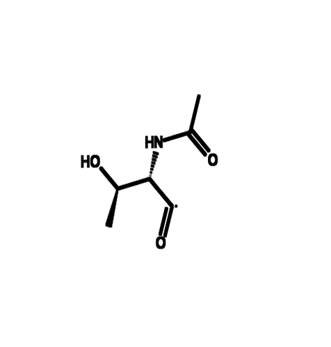 CC(=O)N[C@H]([C]=O)[C@@H](C)O